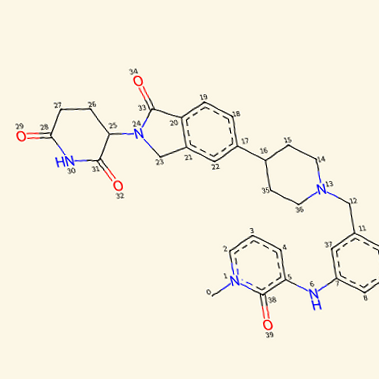 Cn1cccc(Nc2cccc(CN3CCC(c4ccc5c(c4)CN(C4CCC(=O)NC4=O)C5=O)CC3)c2)c1=O